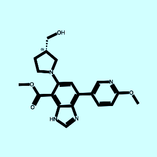 COC(=O)c1c(N2CC[C@H](CO)C2)cc(-c2ccc(OC)nc2)c2nc[nH]c12